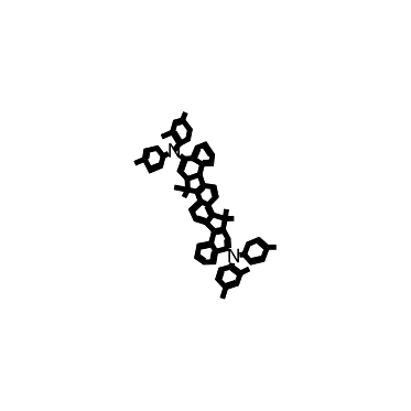 CC1=CCC(N(C2=CC3C(c4ccccc42)c2ccc4c5c(ccc4c2C3(C)C)-c2c(cc(N(c3ccc(C)cc3C)C3C=CC(C)=CC3)c3ccccc23)C5(C)C)C2=C(C)C=C(C)CC2)C=C1